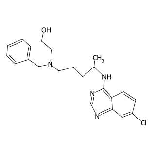 CC(CCCN(CCO)Cc1ccccc1)Nc1ncnc2cc(Cl)ccc12